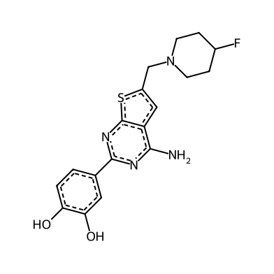 Nc1nc(-c2ccc(O)c(O)c2)nc2sc(CN3CCC(F)CC3)cc12